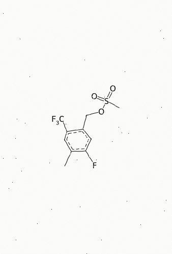 Cc1cc(C(F)(F)F)c(COS(C)(=O)=O)cc1F